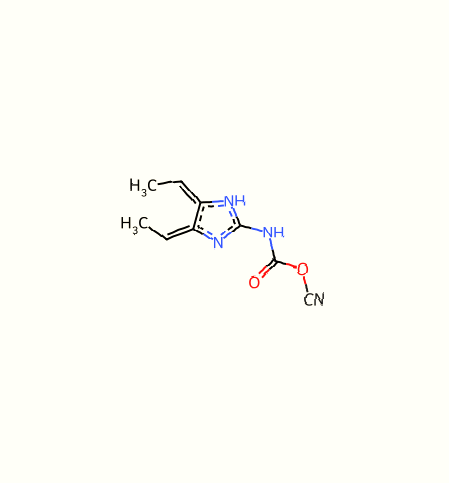 C/C=c1/nc(NC(=O)OC#N)[nH]/c1=C/C